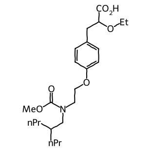 CCCC(CCC)CN(CCOc1ccc(CC(OCC)C(=O)O)cc1)C(=O)OC